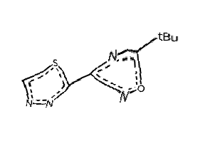 CC(C)(C)c1nc(-c2nncs2)no1